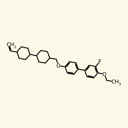 C=CC1CCC(C2CCC(COc3ccc(-c4ccc(OCC)c(F)c4)cc3)CC2)CC1